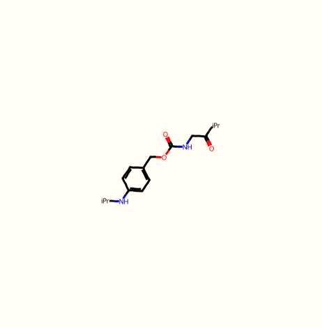 CC(C)Nc1ccc(COC(=O)NCC(=O)C(C)C)cc1